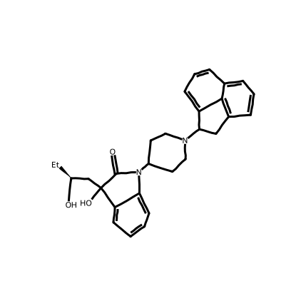 CC[C@H](O)CC1(O)C(=O)N(C2CCN(C3Cc4cccc5cccc3c45)CC2)c2ccccc21